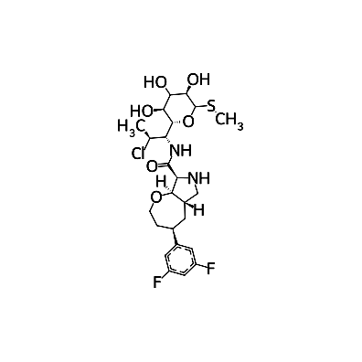 CSC1O[C@H]([C@H](NC(=O)[C@H]2NC[C@@H]3C[C@@H](c4cc(F)cc(F)c4)CCO[C@H]32)[C@H](C)Cl)[C@@H](O)C(O)[C@H]1O